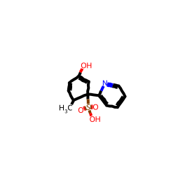 CC1C=CC(O)=CC1(c1ccccn1)S(=O)(=O)O